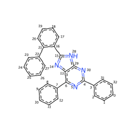 c1ccc(-c2nc(-c3ccccc3)c3nc(-c4ccccc4-c4ccccc4)[nH]c3n2)cc1